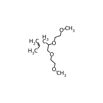 C=CC.COCCOCC(C)OCCOC